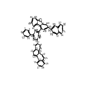 c1ccc(-c2nc(-c3ccc4c(ccc5c6ccccc6ccc45)c3)nc(-c3cc(-c4ccc5ccccc5c4)cc4oc5ccccc5c34)n2)cc1